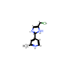 Cc1cc(-c2ncc(CCl)[nH]2)ccn1